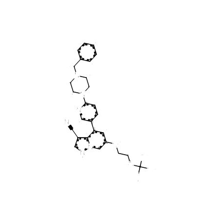 N#Cc1cnn2cc(OCCOC(F)(F)F)cc(-c3ccc(N4CCN(Cc5ccccc5)CC4)nc3)c12